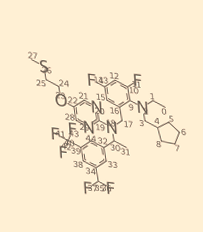 CCN(CC1CCCC1)c1c(F)cc(F)cc1CN(c1ncc(OCCSC)cn1)C(C)c1cc(C(F)F)cc(C(F)(F)F)c1